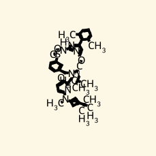 Cc1cccc(C)c1-c1cc2nc(n1)NS(=O)(=O)c1cccc(c1)C(=O)N(Cc1cccc(N(C)C34CC(C(C)(C)C)(C3)C4)n1)[C@H](CC(C)(C)C)CO2